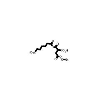 CCCCCCCCCCCCCCCC(=O)OC(=O)C(CC(=O)OOCC)S(=O)(=O)O